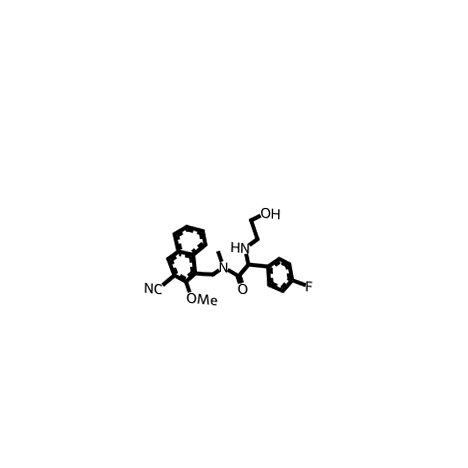 COc1c(C#N)cc2ccccc2c1CN(C)C(=O)C(NCCO)c1ccc(F)cc1